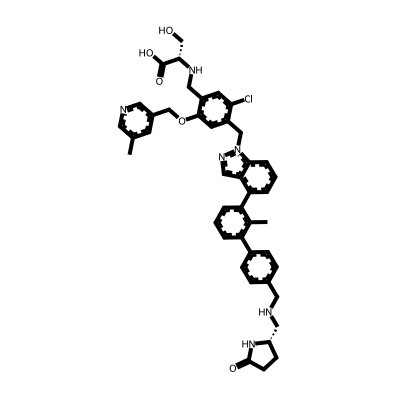 Cc1cncc(COc2cc(Cn3ncc4c(-c5cccc(-c6ccc(CNC[C@@H]7CCC(=O)N7)cc6)c5C)cccc43)c(Cl)cc2CN[C@@H](CO)C(=O)O)c1